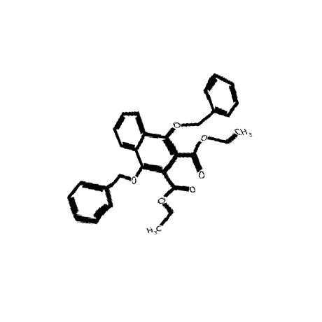 CCOC(=O)c1c(C(=O)OCC)c(OCc2ccccc2)c2ccccc2c1OCc1ccccc1